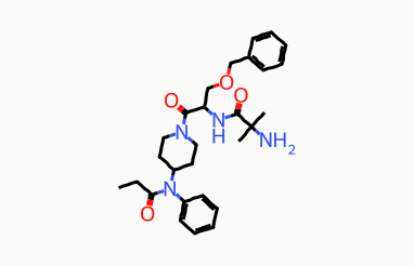 CCC(=O)N(c1ccccc1)C1CCN(C(=O)C(COCc2ccccc2)NC(=O)C(C)(C)N)CC1